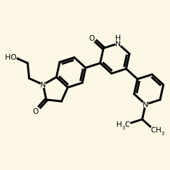 CC(C)N1C=C(c2c[nH]c(=O)c(-c3ccc4c(c3)CC(=O)N4CCO)c2)C=CC1